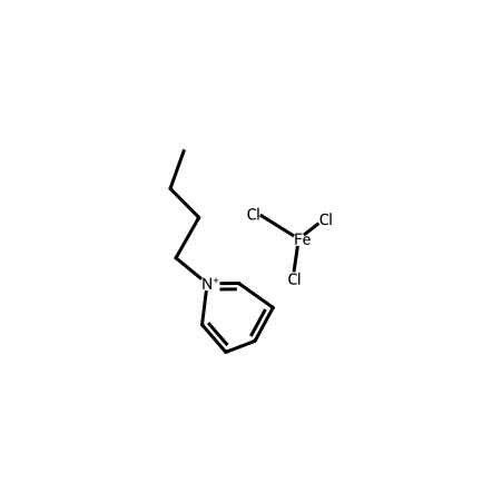 CCCC[n+]1ccccc1.[Cl][Fe]([Cl])[Cl]